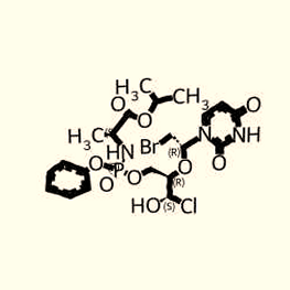 CC(C)OC(=O)[C@H](C)N[P@@](=O)(OC[C@@H](O[C@H](CBr)n1ccc(=O)[nH]c1=O)[C@@H](O)Cl)Oc1ccccc1